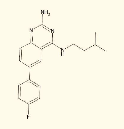 CC(C)CCNc1nc(N)nc2ccc(-c3ccc(F)cc3)cc12